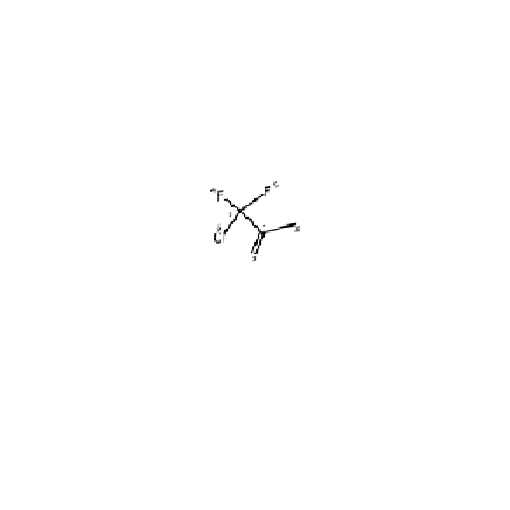 C=C(C)C(F)(F)Cl